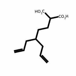 C=CCC(CC=C)CCC(C(=O)O)C(=O)O